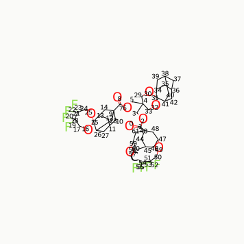 O=C(OCC1(COC(=O)C23CC4CC(C2)C2(OCC(F)(F)C(F)(F)CO2)C(C4)C3)COC2(OC1)C1CC3CC(C1)CC2C3)C12CC3CC(C1)OCC(F)(F)C(F)(F)COC(C3)C2